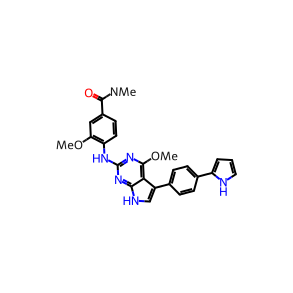 CNC(=O)c1ccc(Nc2nc(OC)c3c(-c4ccc(-c5ccc[nH]5)cc4)c[nH]c3n2)c(OC)c1